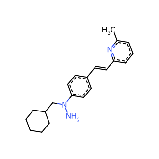 Cc1cccc(C=Cc2ccc(N(N)CC3CCCCC3)cc2)n1